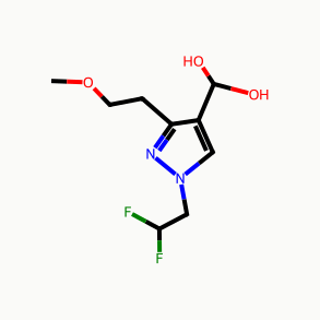 COCCc1nn(CC(F)F)cc1C(O)O